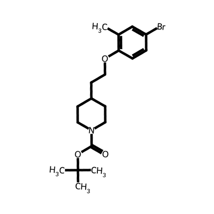 Cc1cc(Br)ccc1OCCC1CCN(C(=O)OC(C)(C)C)CC1